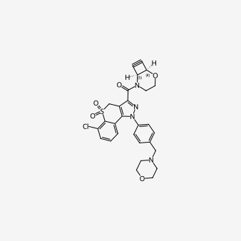 O=C(c1nn(-c2ccc(CN3CCOCC3)cc2)c2c1CS(=O)(=O)c1c(Cl)cccc1-2)N1CCO[C@@H]2C#C[C@@H]21